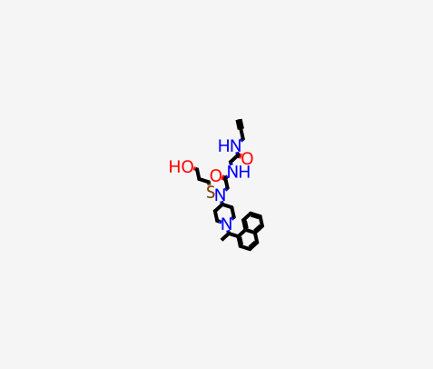 C#CCNC(=O)CNC(=O)CN(SCCCO)C1CCN(C(C)c2cccc3ccccc23)CC1